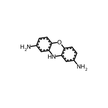 Nc1ccc2c(c1)Nc1cc(N)ccc1O2